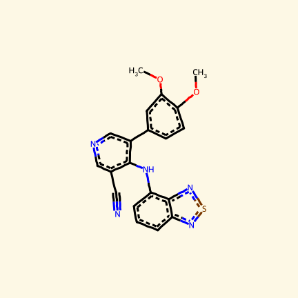 COc1ccc(-c2cncc(C#N)c2Nc2cccc3nsnc23)cc1OC